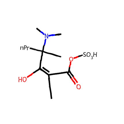 CCCC(C)(C(O)=C(C)C(=O)OS(=O)(=O)O)N(C)C